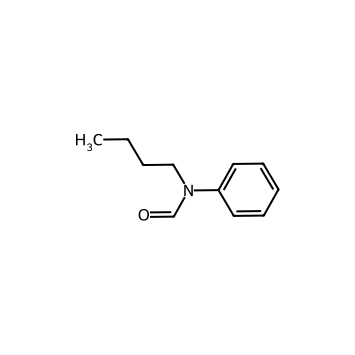 CCCCN(C=O)c1ccccc1